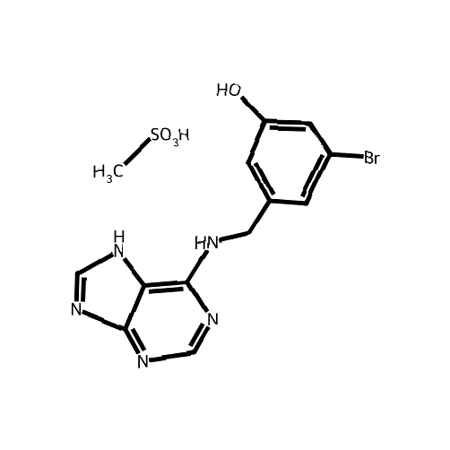 CS(=O)(=O)O.Oc1cc(Br)cc(CNc2ncnc3nc[nH]c23)c1